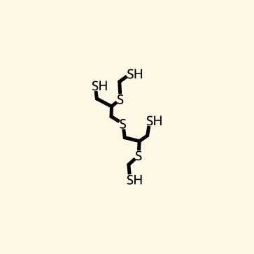 SCSC(CS)CSCC(CS)SCS